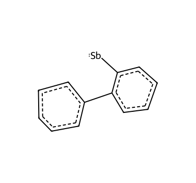 [Sb][c]1ccccc1-c1ccccc1